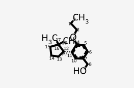 CCCOc1ccc(CO)cc1[C@@H]1CCCC1(C)C